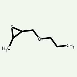 CCCOCC1SC1C